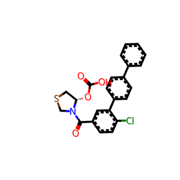 O=C(O)O[C@H]1CSCN1C(=O)c1ccc(Cl)c(-c2ccc(-c3ccccc3)cc2)c1